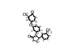 O=C1CSC(c2cccc(C(F)(F)F)c2)N1c1cccc(Oc2ccc(Cl)c(Cl)c2)c1